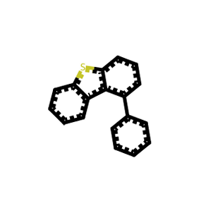 [c]1ccc2sc3cccc(-c4ccccc4)c3c2c1